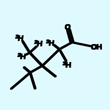 [2H]C([2H])([2H])C(C)(C(C)(C)C)C([2H])([2H])C(=O)O